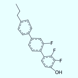 CCCc1ccc(-c2ccc(-c3ccc(O)c(F)c3F)c(F)c2)cc1